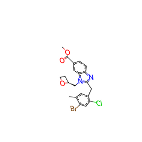 COC(=O)c1ccc2nc(Cc3cc(C)c(Br)cc3Cl)n(C[C@@H]3CCO3)c2c1